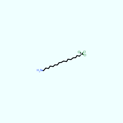 NCCCCCCCCCCCCCCCCC[Si](Cl)(Cl)Cl